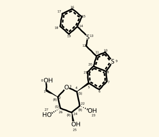 OC[C@H]1O[C@@H](c2ccc3scc(CSc4ccccc4)c3c2)[C@H](O)[C@@H](O)[C@@H]1O